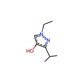 CCn1cc(O)c(C(C)C)n1